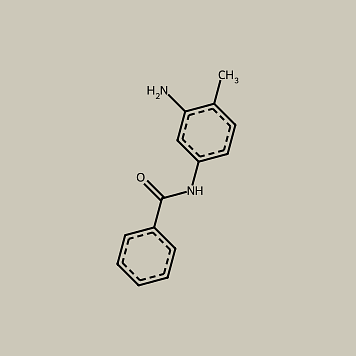 Cc1ccc(NC(=O)c2ccccc2)cc1N